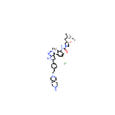 Cc1c(NC(=O)N2C[C@@H](CC(C)C)[C@@H](O)C2)cc(F)cc1-c1ncnc2[nH]c(-c3ccc(CCN4CCC5(CCNCC5)CC4)cc3)cc12.Cl